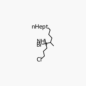 CCCCCCCCCCC(C)C(C)(Br)CCCCl.N